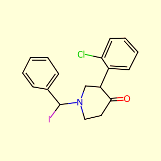 O=C1CCN(C(I)c2ccccc2)CC1c1ccccc1Cl